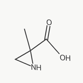 CC1(C(=O)O)CN1